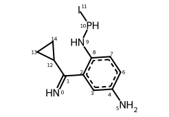 N=C(c1cc(N)ccc1NPI)C1CC1